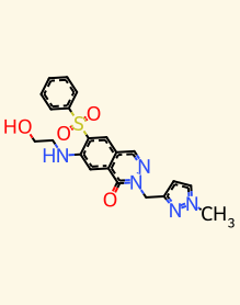 Cn1ccc(Cn2ncc3cc(S(=O)(=O)c4ccccc4)c(NCCO)cc3c2=O)n1